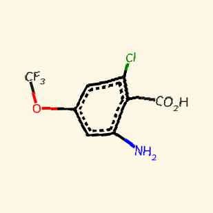 Nc1cc(OC(F)(F)F)cc(Cl)c1C(=O)O